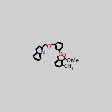 COC(=O)c1c(C)cccc1COc1cccc(COCc2ccc3ccccc3n2)c1